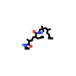 C#CC/C(=C\C=C(/C)C(=O)NC(C)(C)C)C(=O)NCC(C)(C)CC(C)CCC(C)(C)C